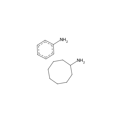 NC1CCCCCCC1.Nc1ccccc1